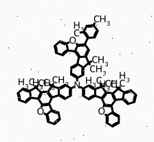 Cc1ccc(-c2cc3c(c4c2oc2ccccc24)-c2ccc(N(c4ccc5c(c4)C(C)(C)c4c6c(c7c(oc8ccccc87)c4-5)-c4ccccc4C6(C)C)c4ccc5c(c4)C(C)(C)c4c6c(c7oc8ccccc8c7c4-5)-c4ccccc4C6(C)C)cc2C3(C)C)c(C)c1